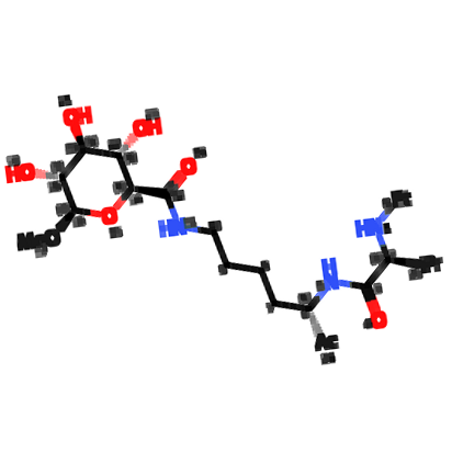 CCN[C@H](C(=O)N[C@@H](CCCCNC(=O)[C@H]1O[C@@H](OC)[C@H](O)[C@@H](O)[C@@H]1O)C(C)=O)C(C)C